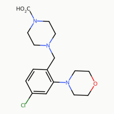 O=C(O)N1CCN(Cc2ccc(Cl)cc2N2CCOCC2)CC1